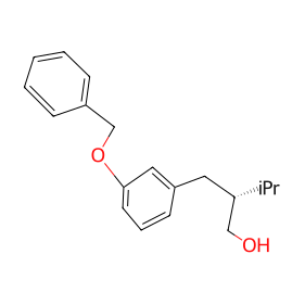 CC(C)[C@H](CO)Cc1cccc(OCc2ccccc2)c1